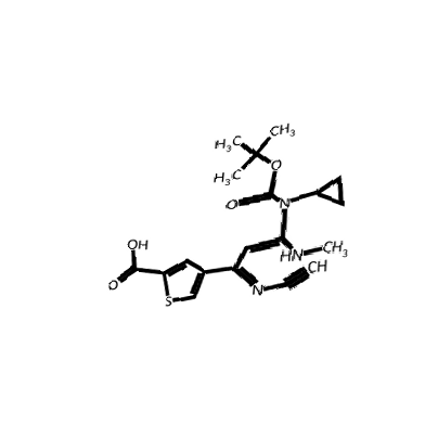 C#C/N=C(\C=C(/NC)N(C(=O)OC(C)(C)C)C1CC1)c1csc(C(=O)O)c1